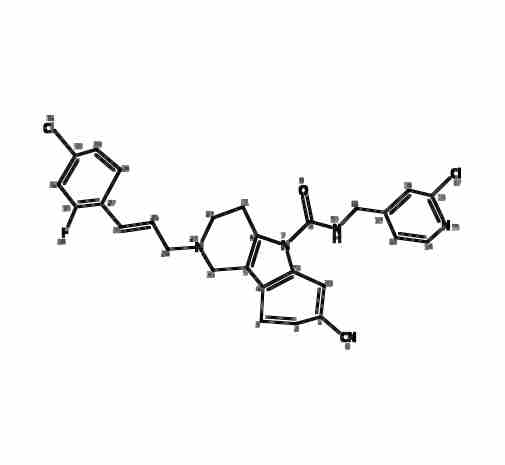 N#Cc1ccc2c3c(n(C(=O)NCc4ccnc(Cl)c4)c2c1)CCN(C/C=C/c1ccc(Cl)cc1F)C3